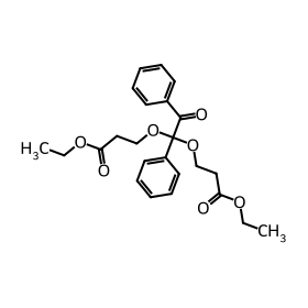 CCOC(=O)CCOC(OCCC(=O)OCC)(C(=O)c1ccccc1)c1ccccc1